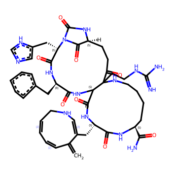 C=C1/C=C\C=C/CN/C=C\1C[C@@H]1NC(=O)[C@H]2NC(=O)[C@@H](Cc3ccccc3)NC(=O)[C@H](Cc3cnc[nH]3)N3C(=O)N[C@@H](CCC(=O)C2(CCNC(=N)N)NCCCC[C@@H](C(N)=O)NC1=O)C3=O